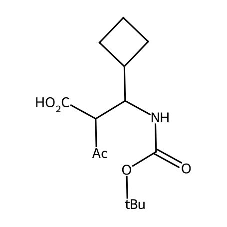 CC(=O)C(C(=O)O)C(NC(=O)OC(C)(C)C)C1CCC1